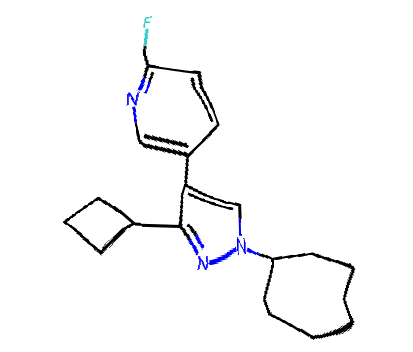 Fc1ccc(-c2cn(C3CCCCC3)nc2C2CCC2)cn1